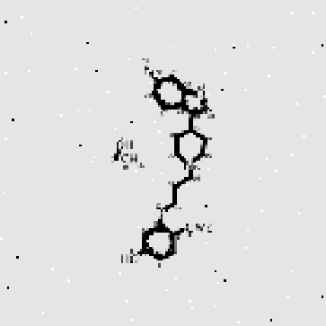 C.CO.COc1ccc(O)cc1OCCCN1CCC(c2noc3cc(F)ccc23)CC1